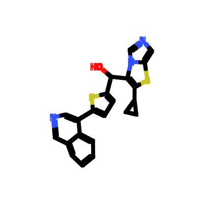 OC(c1ccc(-c2cncc3ccccc23)s1)c1c(C2CC2)sc2cncn12